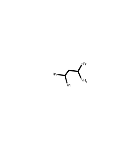 CCC[CH]([AlH2])CC(C(C)C)C(C)C